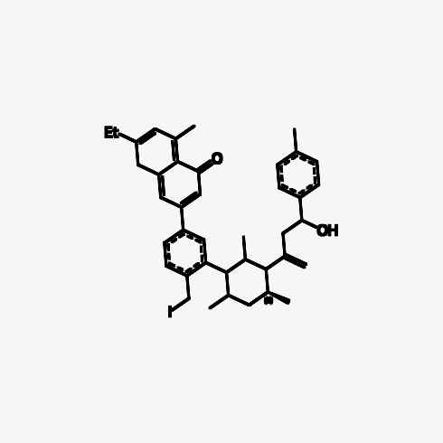 C=C(CC(O)c1ccc(C)cc1)C1C(C)C(c2cc(C3=CC(=O)C4=C(C)C=C(CC)CC4=C3)ccc2CI)C(C)C[C@@H]1C